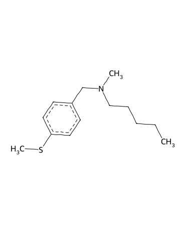 CCCCCN(C)Cc1ccc(SC)cc1